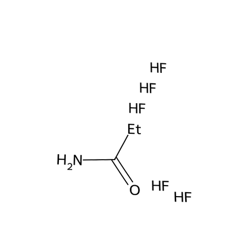 CCC(N)=O.F.F.F.F.F